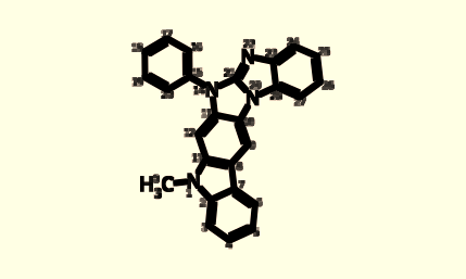 Cn1c2ccccc2c2cc3c(cc21)n(-c1ccccc1)c1nc2ccccc2n31